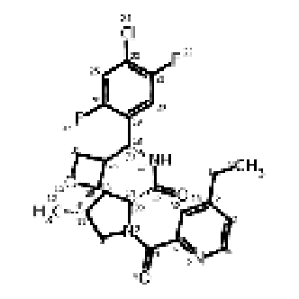 CCc1ccnc(C(=O)N2C[C@H](C)C[C@@H]2C(=O)N[C@@H](c2cc(F)c(Cl)cc2F)C2COC2)c1